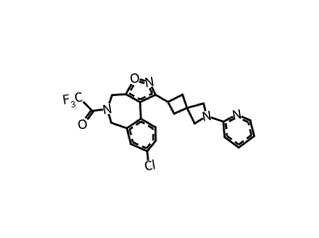 O=C(N1Cc2cc(Cl)ccc2-c2c(C3CC4(C3)CN(c3ccccn3)C4)noc2C1)C(F)(F)F